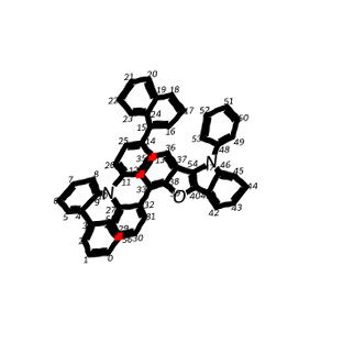 c1ccc(-c2ccccc2N(c2ccc(-c3cccc4ccccc34)cc2)c2ccccc2-c2cccc3c2oc2c4ccccc4n(-c4ccccc4)c32)cc1